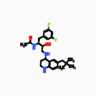 CC(=O)N[C@@H](Cc1cc(F)cc(F)c1)[C@@H](O)CNC1CCNc2ccc(CC(C)(C)C)cc21